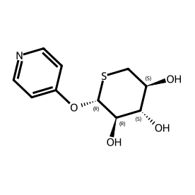 O[C@@H]1[C@@H](O)[C@H](Oc2ccncc2)SC[C@H]1O